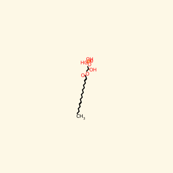 CCCCCC=CCCCCCCCCC=CC(=O)OCC(O)COP(=O)(O)O